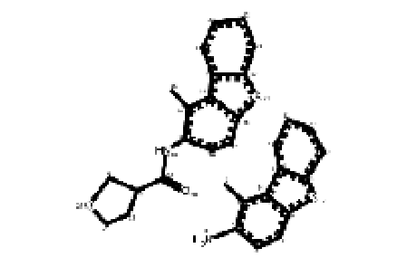 Cc1c(N)ccc2sc3ccccc3c12.Cc1c(NC(=O)C2CCOC2)ccc2sc3ccccc3c12